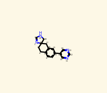 C1=NC2(CCc3ccc(-c4cncnc4)cc3C2)CN1